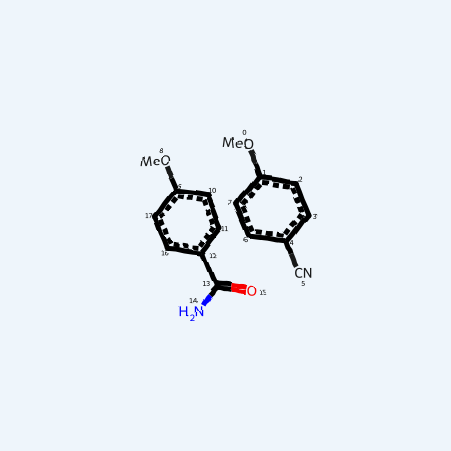 COc1ccc(C#N)cc1.COc1ccc(C(N)=O)cc1